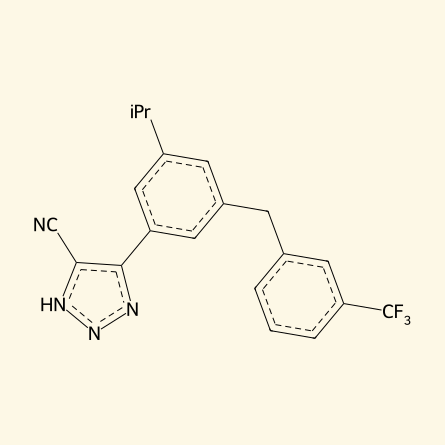 CC(C)c1cc(Cc2cccc(C(F)(F)F)c2)cc(-c2nn[nH]c2C#N)c1